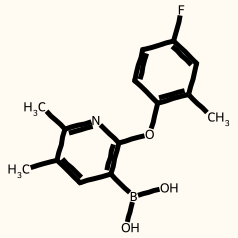 Cc1cc(F)ccc1Oc1nc(C)c(C)cc1B(O)O